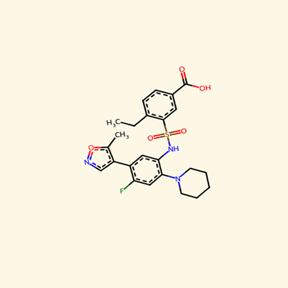 CCc1ccc(C(=O)O)cc1S(=O)(=O)Nc1cc(-c2cnoc2C)c(F)cc1N1CCCCC1